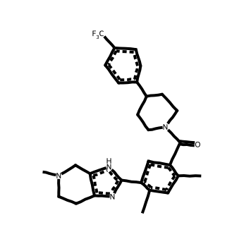 Cc1cc(C)c(-c2nc3c([nH]2)CN(C)CC3)cc1C(=O)N1CCC(c2ccc(C(F)(F)F)cc2)CC1